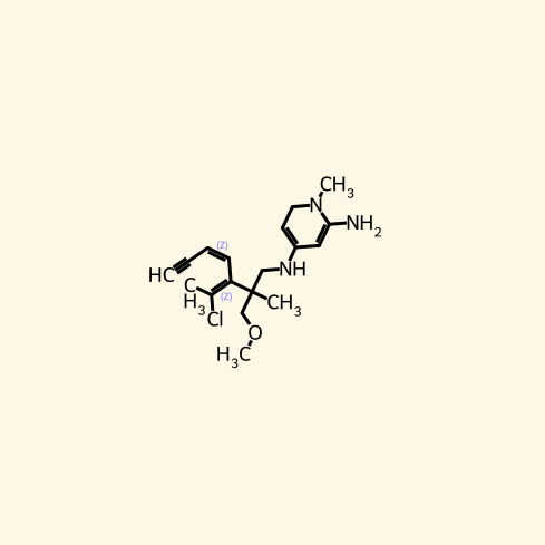 C#C/C=C\C(=C(/C)Cl)C(C)(CNC1=CCN(C)C(N)=C1)COC